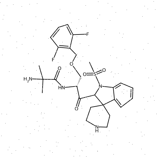 CC(C)(N)C(=O)N[C@H](COCc1c(F)cccc1F)C(=O)C1N(S(C)(=O)=O)c2ccccc2C12CCNCC2